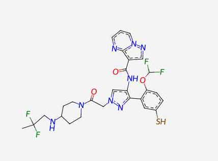 CC(F)(F)CNC1CCN(C(=O)Cn2cc(NC(=O)c3cnn4cccnc34)c(-c3cc(S)ccc3OC(F)F)n2)CC1